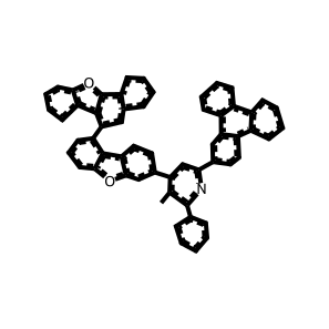 Cc1c(-c2ccc3c(c2)oc2cccc(-c4cc5ccccc5c5oc6ccccc6c45)c23)cc(-c2ccc3c4ccccc4c4ccccc4c3c2)nc1-c1ccccc1